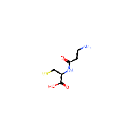 NCCC(=O)NC(CS)C(=O)O